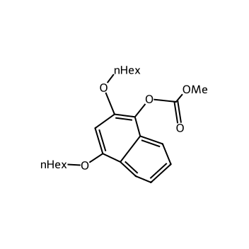 CCCCCCOc1cc(OCCCCCC)c2ccccc2c1OC(=O)OC